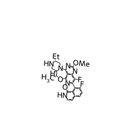 CC[C@@H]1CN2c3nc(OC)nc4c(F)c(-c5c(F)ccc6cc[nH]c(=O)c56)nc(c34)O[C@@H](C)[C@@H]2CN1